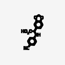 N#Cc1ccc(NC(C(=O)O)c2ccc3c(c2)OCO3)cc1